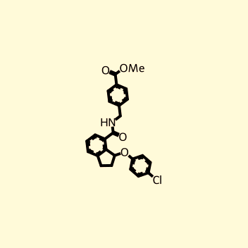 COC(=O)c1ccc(CNC(=O)c2cccc3c2C(Oc2ccc(Cl)cc2)CC3)cc1